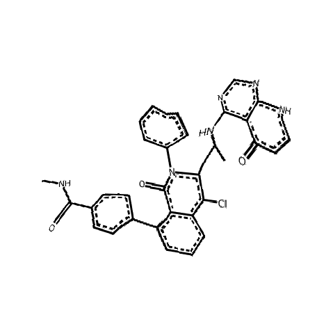 CNC(=O)c1ccc(-c2cccc3c(Cl)c(C(C)Nc4ncnc5[nH]ccc(=O)c45)n(-c4ccccc4)c(=O)c23)cc1